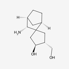 N[C@@H]1[C@H]2CC[C@H](C2)C12C[C@H](CO)[C@@H](O)C2